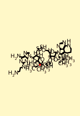 CC(C)(C)[Si](C)(C)CO[C@H]1[C@H]2OP(=S)(S)OC[C@H]3O[C@@H](n4cc5c6c(ncnc64)NCCC5)[C@H](O[Si](C)(C)C(C)(C)C)[C@@H]3OP(=O)(S)OC[C@H]1O[C@H]2n1cnc2c(N)nc(NCCN)nc21